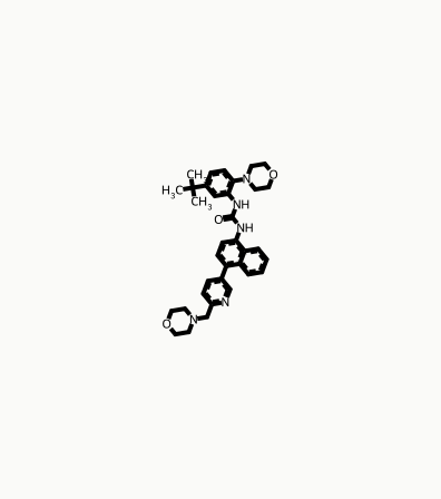 CC(C)(C)c1ccc(N2CCOCC2)c(NC(=O)Nc2ccc(-c3ccc(CN4CCOCC4)nc3)c3ccccc23)c1